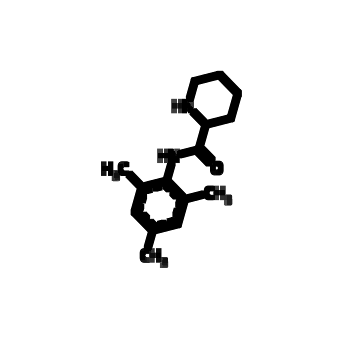 Cc1cc(C)c(NC(=O)C2CCCCN2)c(C)c1